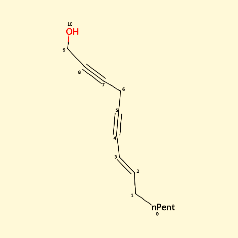 CCCCCCC=CC#CCC#CCO